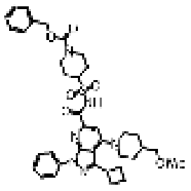 COCC1CCN(c2cc(C(=O)NS(=O)(=O)C3CCN(C(=O)OCc4ccccc4)CC3)nc3c2c(C2CCC2)nn3-c2ccccc2)CC1